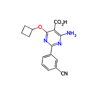 N#Cc1cccc(-c2nc(N)c(C(=O)O)c(OC3CCC3)n2)c1